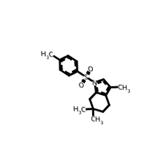 Cc1ccc(S(=O)(=O)n2cc(C)c3c2CC(C)(C)CC3)cc1